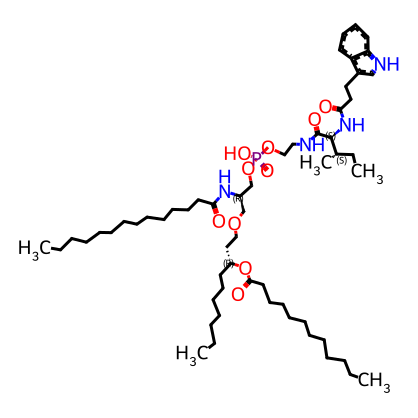 CCCCCCCCCCCCCC(=O)N[C@H](COCC[C@@H](CCCCCCC)OC(=O)CCCCCCCCCCC)COP(=O)(O)OCCNC(=O)[C@@H](NC(=O)CCc1c[nH]c2ccccc12)[C@@H](C)CC